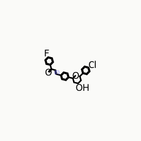 O=C(/C=C/c1ccc(C2CC(O)CC(c3ccc(Cl)cc3)O2)cc1)c1ccc(F)cc1